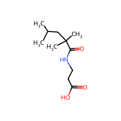 CC(C)CC(C)(C)C(=O)NCCC(=O)O